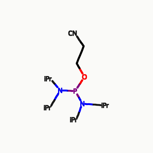 [C-]#[N+]CCOP(N(C(C)C)C(C)C)N(C(C)C)C(C)C